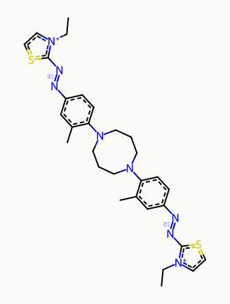 CC[n+]1ccsc1/N=N/c1ccc(N2CCCN(c3ccc(/N=N/c4scc[n+]4CC)cc3C)CCC2)c(C)c1